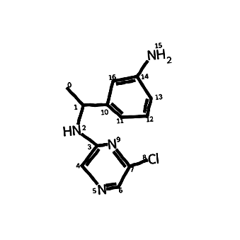 CC(Nc1cncc(Cl)n1)c1cccc(N)c1